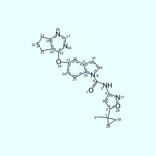 CC1(c2cc(NC(=O)n3ccc4cc(Oc5ncnc6c5CSC6)ccc43)no2)CC1